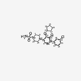 NS(=O)(=O)N1CCN(c2cnn(-c3cccc(Cl)c3)c(=O)c2OC2CCCC2)CC1